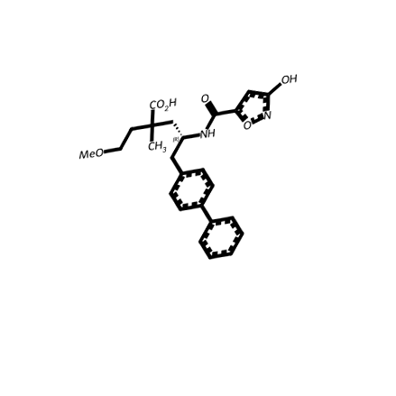 COCCC(C)(C[C@@H](Cc1ccc(-c2ccccc2)cc1)NC(=O)c1cc(O)no1)C(=O)O